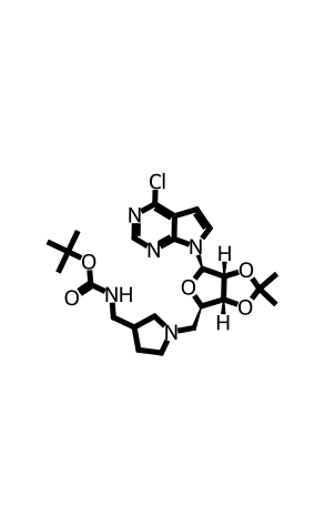 CC(C)(C)OC(=O)NCC1CCN(C[C@H]2O[C@@H](n3ccc4c(Cl)ncnc43)[C@@H]3OC(C)(C)O[C@@H]32)C1